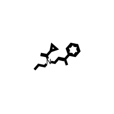 C=C(C1CC1)N(C/C=C(\C)c1ccccc1)CCC